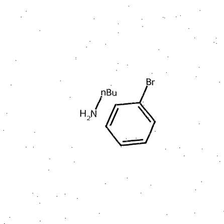 Brc1ccccc1.CCCCN